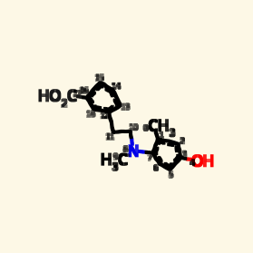 Cc1cc(O)ccc1N(C)CCc1cccc(C(=O)O)c1